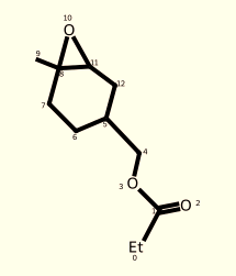 CCC(=O)OCC1CCC2(C)OC2C1